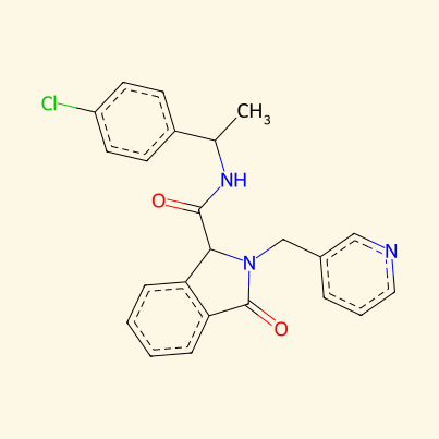 CC(NC(=O)C1c2ccccc2C(=O)N1Cc1cccnc1)c1ccc(Cl)cc1